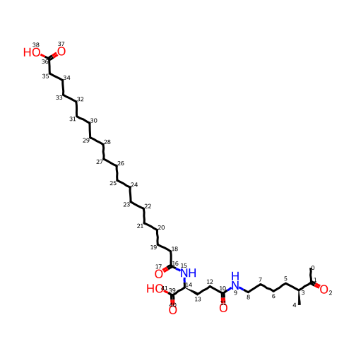 CC(=O)[C@@H](C)CCCCNC(=O)CC[C@H](NC(=O)CCCCCCCCCCCCCCCCCCC(=O)O)C(=O)O